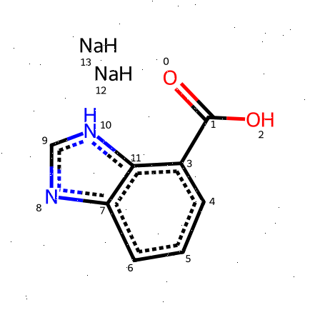 O=C(O)c1cccc2nc[nH]c12.[NaH].[NaH]